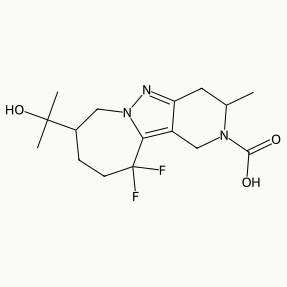 CC1Cc2nn3c(c2CN1C(=O)O)C(F)(F)CCC(C(C)(C)O)C3